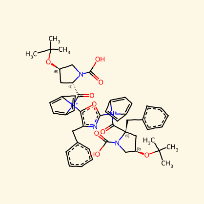 CC(C)(C)O[C@@H]1C[C@@H](C(=O)[N+]2(c3oc([N+]4(C(=O)[C@]5(Cc6ccccc6)C[C@@H](OC(C)(C)C)CN5C(=O)O)C5=CC=C4C=C5)nc3Cc3ccccc3)C3=CC=C2C=C3)N(C(=O)O)C1